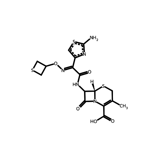 CC1=C(C(=O)O)N2C(=O)C(NC(=O)C(=NOC3CSC3)c3csc(N)n3)[C@@H]2SC1